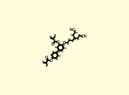 C=C(C)C(=O)Oc1ccc(-c2ccc(OCCCC(CCC#N)CCC#N)c(OC(=O)C(=C)C)c2)cc1